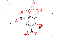 O=C(O)c1cc(C(=O)O)c(OB(O)O)cc1O